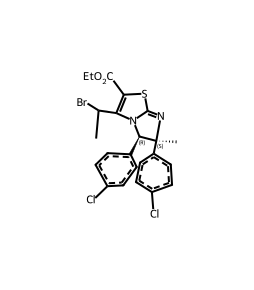 CCOC(=O)C1=C(C(C)Br)N2C(=N[C@@](C)(c3ccc(Cl)cc3)[C@H]2c2ccc(Cl)cc2)S1